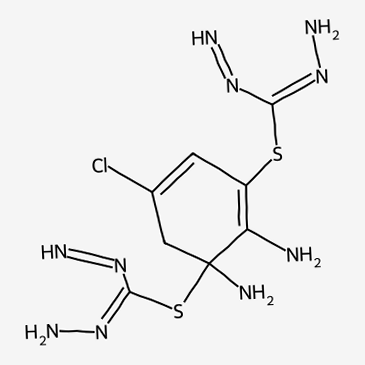 N=NC(=NN)SC1=C(N)C(N)(SC(N=N)=NN)CC(Cl)=C1